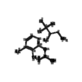 CCC(CC)(CC)C(C)CN.Cc1cccc(OB(O)O)c1C